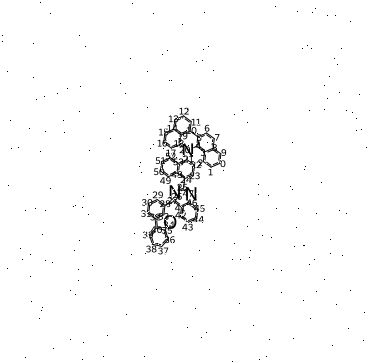 c1ccc2c3c(ccc2c1)-c1cccc2cccc(c12)N3c1ccc(-c2nc(-c3cccc4c3oc3ccccc34)c3ccccc3n2)c2ccccc12